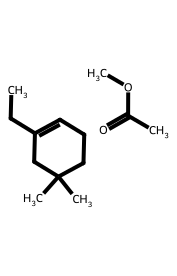 CCC1=CCCC(C)(C)C1.COC(C)=O